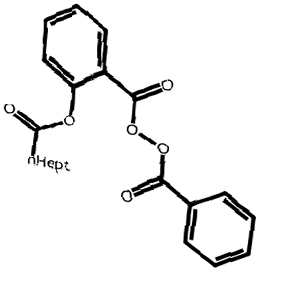 CCCCCCCC(=O)Oc1ccccc1C(=O)OOC(=O)c1ccccc1